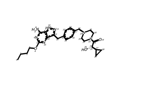 CCCCOc1nc(N)c2[nH]nc(Cc3ccc(CN4CCN(C(=O)[C@@H](O)C5CC5)CC4)cc3)c2n1